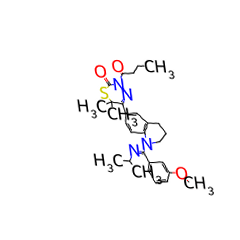 CCCC(=O)N1N=C(c2ccc3c(c2)CCCN3C(=NC(C)C)c2cccc(OC)c2)C(C)(C)SC1=O